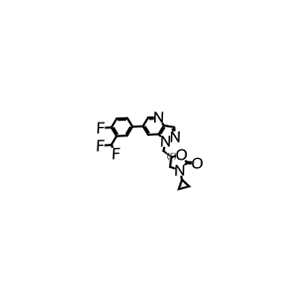 O=C1O[C@H](Cn2ncc3ncc(-c4ccc(F)c(C(F)F)c4)cc32)CN1C1CC1